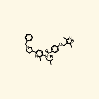 Cc1nc(C2CCN(Cc3ccccc3)C2)ccc1N(CC(C)C)S(=O)(=O)c1ccc(OCc2c(C)noc2C)cc1